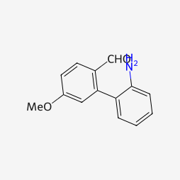 COc1ccc(C=O)c(-c2ccccc2N)c1